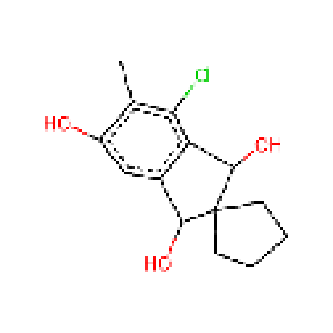 Cc1c(O)cc2c(c1Cl)C(O)C1(CCCC1)C2O